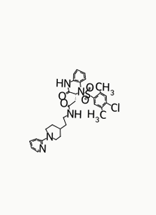 Cc1cc(S(=O)(=O)N2c3ccccc3NC(=O)[C@H]2CC(=O)NCCC2CCN(c3ccccn3)CC2)c(C)cc1Cl